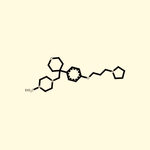 CCOC(=O)N1CCN(CC2(c3ccc(OCCCN4CCCC4)cc3)CCOCC2)CC1